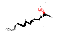 CCCCCC=CCC=CCC(O)CC